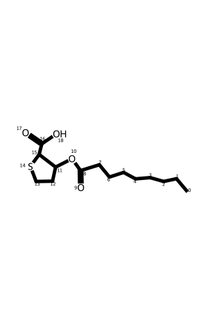 CCCCCCCCC(=O)OC1CCSC1C(=O)O